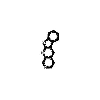 c1ccc2c(c1)sc1nc3cnccc3cc12